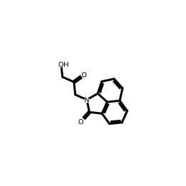 O=C(CO)CN1C(=O)c2cccc3cccc1c23